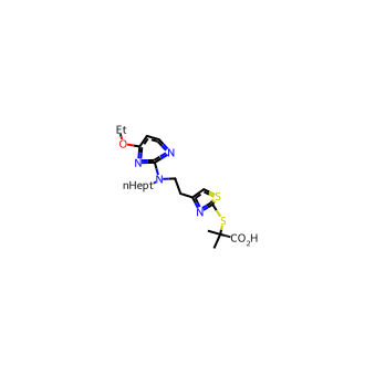 CCCCCCCN(CCc1csc(SC(C)(C)C(=O)O)n1)c1nccc(OCC)n1